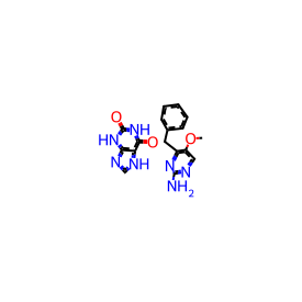 COc1cnc(N)nc1Cc1ccccc1.O=c1[nH]c(=O)c2[nH]cnc2[nH]1